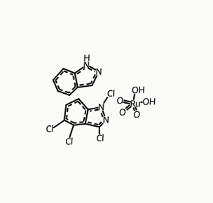 Clc1ccc2c(c(Cl)nn2Cl)c1Cl.[O]=[Ru](=[O])(=[O])([OH])[OH].c1ccc2[nH]ncc2c1